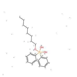 CCCCCCCCOP(O)(O)(c1ccccc1)c1ccccc1